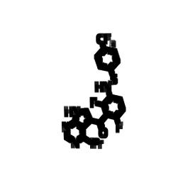 CC(C)c1ncnc2[nH]cc(C(=O)c3c(F)ccc(NSc4ccc(C(F)(F)F)cc4)c3F)c12